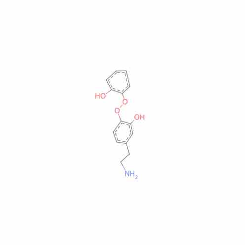 NCCc1ccc(OOc2ccccc2O)c(O)c1